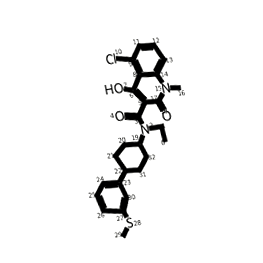 CCN(C(=O)c1c(O)c2c(Cl)cccc2n(C)c1=O)C1CCC(c2cccc(SC)c2)CC1